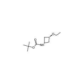 CCO[C@H]1C[C@H](NC(=O)OC(C)(C)C)C1